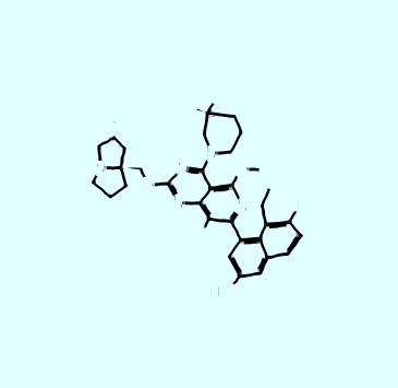 CCc1c(F)ccc2cc(O)cc(-c3nc(OC)c4c(N5CCC[C@@](C)(O)C5)nc(OC[C@@]56CCCN5C[C@H](F)C6)nc4c3F)c12